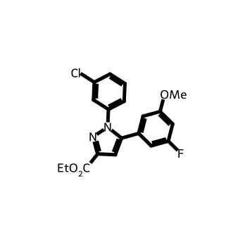 CCOC(=O)c1cc(-c2cc(F)cc(OC)c2)n(-c2cccc(Cl)c2)n1